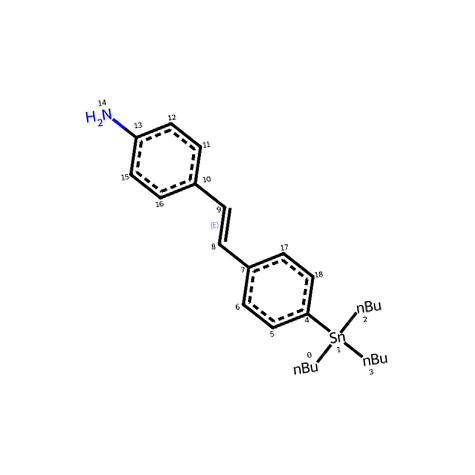 CCC[CH2][Sn]([CH2]CCC)([CH2]CCC)[c]1ccc(/C=C/c2ccc(N)cc2)cc1